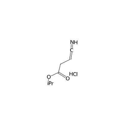 CC(C)OC(=O)CC=C=N.Cl